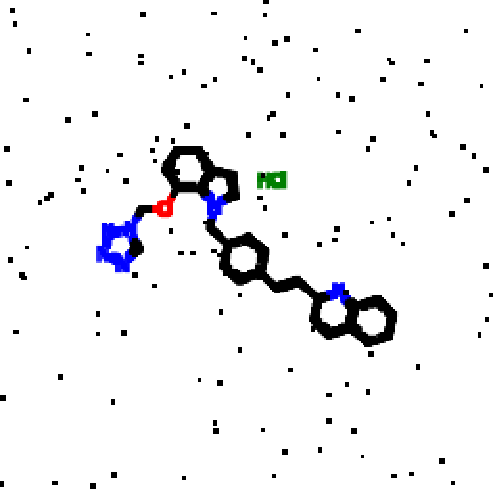 C(=C\c1ccc2ccccc2n1)/c1ccc(Cn2ccc3cccc(OCn4cnnn4)c32)cc1.Cl